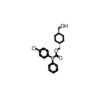 O=C(OC[C@H]1CC[C@H](CO)CC1)N(c1ccccc1)c1ccc(Cl)cc1